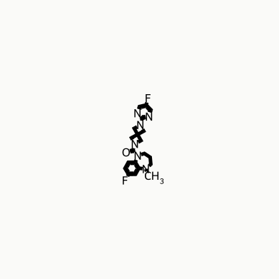 CN1CCCN(C(=O)N2CC3(C2)CN(c2ncc(F)cn2)C3)c2ccc(F)cc21